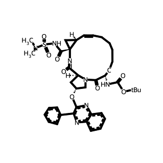 CN(C)S(=O)(=O)NC(=O)[C@@]12C[C@H]1/C=C\CCCCC[C@H](NC(=O)OC(C)(C)C)C(=O)N1C[C@H](Oc3nc4ccccc4nc3-c3ccccc3)C[C@H]1C(=O)N2